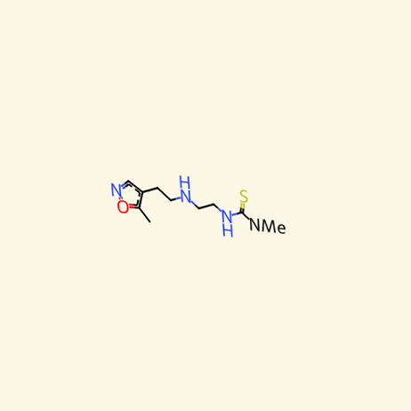 CNC(=S)NCCNCCc1cnoc1C